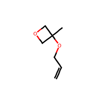 C=CCOC1(C)COC1